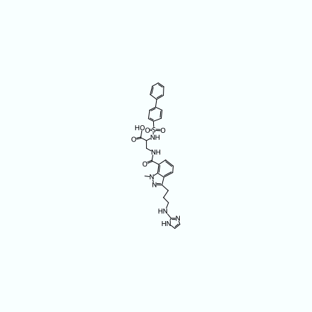 Cn1nc(CCCNc2ncc[nH]2)c2cccc(C(=O)NCC(NS(=O)(=O)c3ccc(-c4ccccc4)cc3)C(=O)O)c21